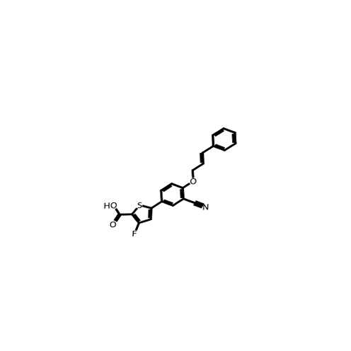 N#Cc1cc(-c2cc(F)c(C(=O)O)s2)ccc1OCC=Cc1ccccc1